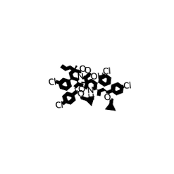 C=CC[C@@]1(C)C[C@H](c2cccc(Cl)c2)[C@H](C(C)C[C@H](OCC2CC2)c2ccc(Cl)cc2)N(C(C(=O)O)[C@]2(C)C[C@H](c3cccc(Cl)c3)[C@H](C(C)C[C@H](OCC3CC3)c3ccc(Cl)cc3)NC2=O)C1=O